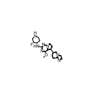 COc1nc(N[C@H]2CCNC[C@H]2F)nn2ccc(-c3ccc4nccn4c3)c12